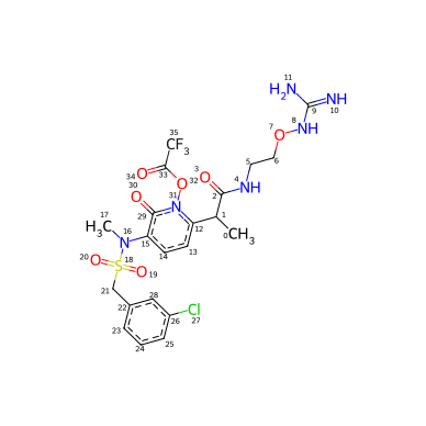 CC(C(=O)NCCONC(=N)N)c1ccc(N(C)S(=O)(=O)Cc2cccc(Cl)c2)c(=O)n1OC(=O)C(F)(F)F